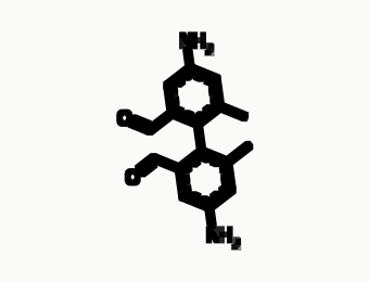 Cc1cc(N)cc(C=O)c1-c1c(C)cc(N)cc1C=O